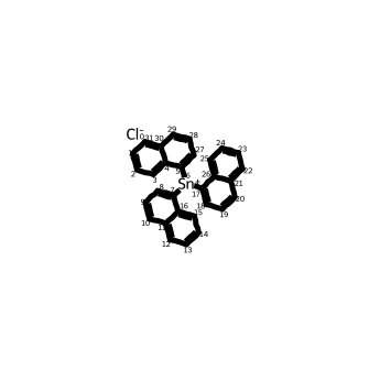 [Cl-].c1ccc2[c]([Sn+]([c]3cccc4ccccc34)[c]3cccc4ccccc34)cccc2c1